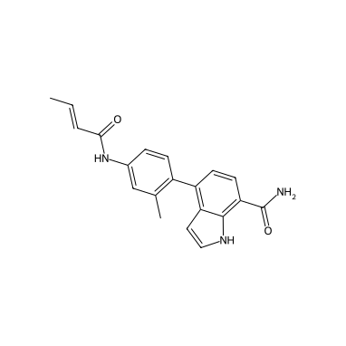 CC=CC(=O)Nc1ccc(-c2ccc(C(N)=O)c3[nH]ccc23)c(C)c1